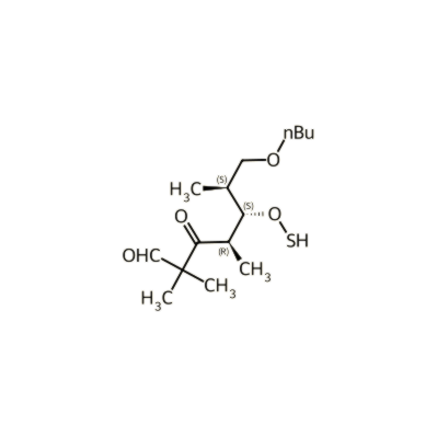 CCCCOC[C@H](C)[C@H](OS)[C@@H](C)C(=O)C(C)(C)C=O